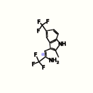 Cc1[nH]c2ccc(C(F)(F)F)cc2c1/C=C(\N)C(F)(F)F